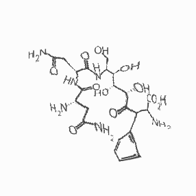 NC(=O)C[C@H](NC(=O)[C@@H](N)CC(N)=O)C(=O)N[C@@H](CO)[C@@H](O)[C@@H](O)[C@H](O)C(=O)C(c1ccccc1)[C@H](N)C(=O)O